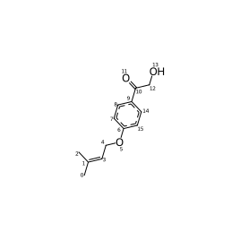 CC(C)=CCOc1ccc(C(=O)CO)cc1